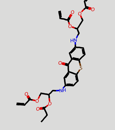 C=CC(=O)OCC(CNc1ccc2sc3ccc(NCC(COC(=O)C=C)OC(=O)CC)cc3c(=O)c2c1)OC(=O)C=C